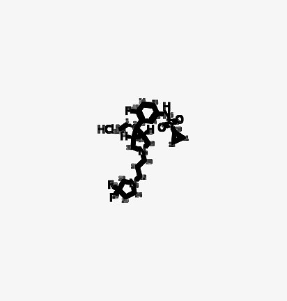 CC[C@]1(c2cc(NS(=O)(=O)C3CC3)ccc2F)[C@@H]2CN(CCCN3CCC(F)(F)C3)C[C@@H]21.Cl